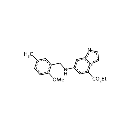 CCOC(=O)c1cc(NCc2cc(C)ccc2OC)cc2nccn12